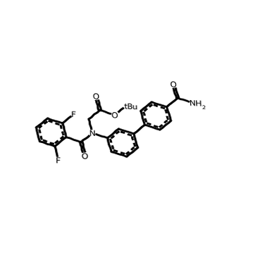 CC(C)(C)OC(=O)CN(C(=O)c1c(F)cccc1F)c1cccc(-c2ccc(C(N)=O)cc2)c1